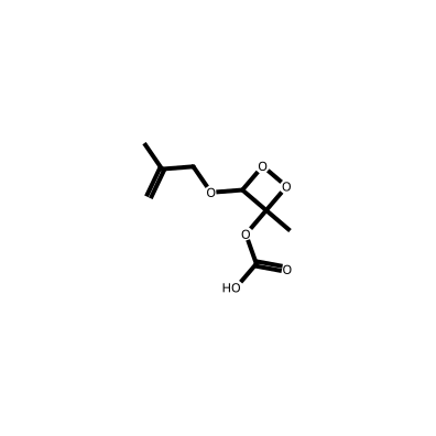 C=C(C)COC1OOC1(C)OC(=O)O